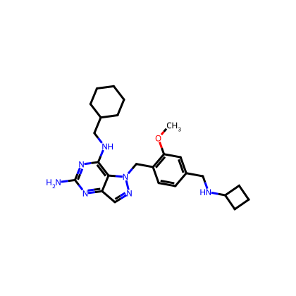 COc1cc(CNC2CCC2)ccc1Cn1ncc2nc(N)nc(NCC3CCCCC3)c21